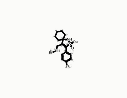 CCNCC1=C(c2ccc(C(C)(C)C)cc2)S(=O)(=O)NC12CCCCC2